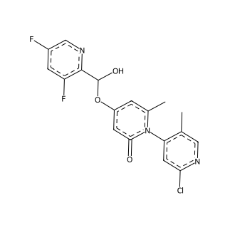 Cc1cnc(Cl)cc1-n1c(C)cc(OC(O)c2ncc(F)cc2F)cc1=O